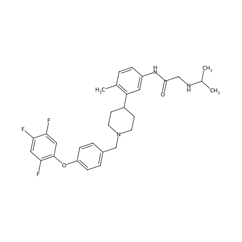 Cc1ccc(NC(=O)CNC(C)C)cc1C1CCN(Cc2ccc(Oc3cc(F)c(F)cc3F)cc2)CC1